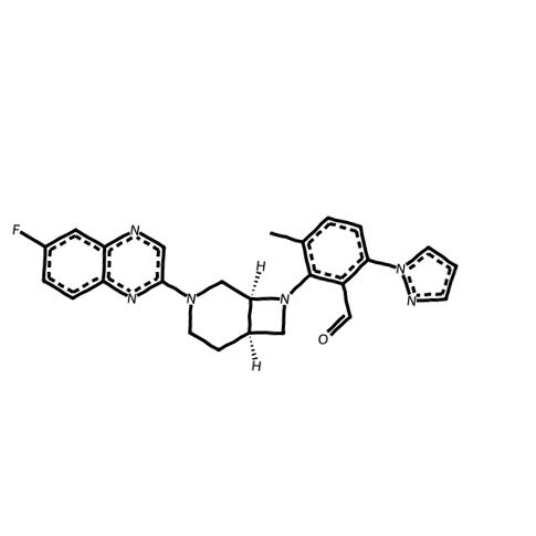 Cc1ccc(-n2cccn2)c(C=O)c1N1C[C@H]2CCN(c3cnc4cc(F)ccc4n3)C[C@H]21